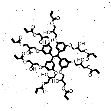 C=CC(=O)OCC(O)COc1cc(OCC(O)COC(=O)C=C)cc(C(c2cc(OCC(O)COC(=O)C=C)cc(OCC(O)COC(=O)C=C)c2)C(c2cc(OCC(O)COC(=O)C=C)cc(OCC(O)COC(=O)C=C)c2)c2cc(OCC(O)COC(=O)C=C)cc(OCC(O)COC(=O)C=C)c2)c1